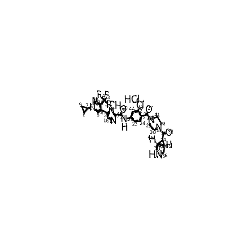 Cl.Cn1c(-c2cn(C3CC3)nc2C(F)(F)F)cnc1C(=O)Nc1ccc(C(=O)N2CCN(C(=O)C3[C@H]4CNC[C@@H]34)CC2)c(Cl)c1